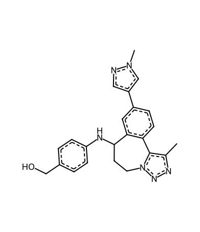 Cc1nnn2c1-c1ccc(-c3cnn(C)c3)cc1C(Nc1ccc(CO)cc1)CC2